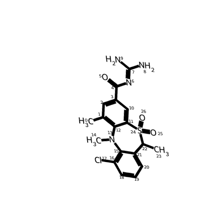 Cc1cc(C(=O)N=C(N)N)cc2c1N(C)c1c(Cl)cccc1C(C)S2(=O)=O